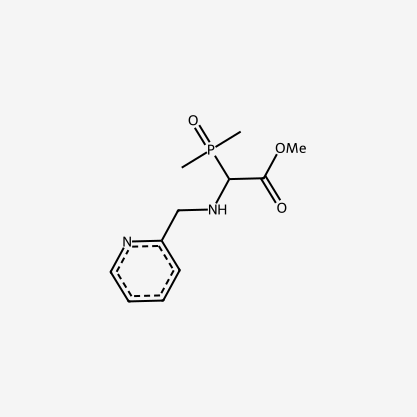 COC(=O)C(NCc1ccccn1)P(C)(C)=O